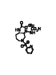 CC(C)(C)OC(=O)NC1CCCN(S(=O)(=O)c2ccccn2)CC1=NNC(=O)O